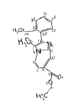 CCOC(=O)c1ccn2c(C)c(-c3ccccc3CC)nc2c1